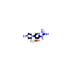 CCN1CCN(c2ccc(N(C)C(=N)N)nc2)CC1.O=[N+]([O-])O